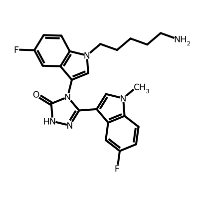 Cn1cc(-c2n[nH]c(=O)n2-c2cn(CCCCCN)c3ccc(F)cc23)c2cc(F)ccc21